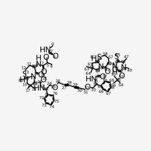 CNC(=O)OC(C)C(=O)N[C@H]1CCS[C@H]2CC(C)(C)[C@@H](C(=O)NC(COCC#CC#CCOCC(NC(=O)[C@H]3N4C(=O)[C@@H](NC(=S)C(C)N(C)C(=O)OC(C)(C)C)CCS[C@H]4CC3(C)C)c3ccccc3)c3ccccc3)N2C1=O